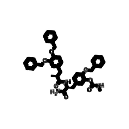 CNC(=O)Oc1cc(C[C@H](NC(=O)[C@@H](C)Cc2ccc(OCc3ccccc3)c(OCc3ccccc3)c2)C(N)=O)ccc1OCc1ccccc1